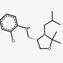 C[C](C)CN1[C@@H](CNc2ccccc2Cl)COC1(C)C